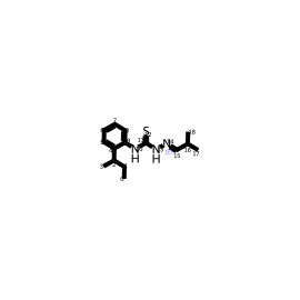 CCC(C)c1ccccc1NC(=S)N/N=C/C(C)C